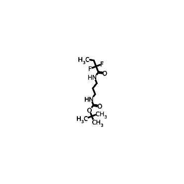 CCC(F)(F)C(=O)NCCCNC(=O)OC(C)(C)C